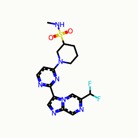 CNS(=O)(=O)C1CCCN(c2ccnc(-c3cnc4cnc(C(F)F)cn34)n2)C1